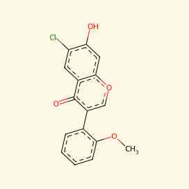 COc1ccccc1-c1coc2cc(O)c(Cl)cc2c1=O